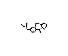 C=C1c2ccccc2COc2cc(CC(=O)OC)ccc21